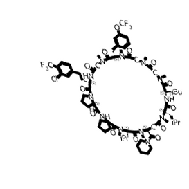 CC[C@H](C)[C@@H]1NC(=O)[C@H](CC(C)C)N(C)C(=O)C[C@@H](C(=O)N2CCCCC2)N(C)C(=O)[C@H](C(C)C)N(C)C(=O)C2(CCCC2)NC(=O)[C@@H]2CCCN2C(=O)[C@H](CCc2ccc(C(F)(F)F)c(Cl)c2)NC(=O)CN(C)C(=O)[C@H](Cc2cccc(OC(F)(F)F)c2)N(C)C(=O)CN(C)C(=O)CN(C)C1=O